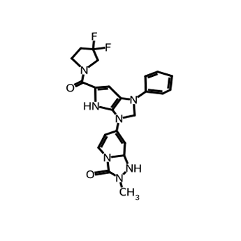 CN1NC2C=C(N3CN(c4ccccc4)c4cc(C(=O)N5CCC(F)(F)C5)[nH]c43)C=CN2C1=O